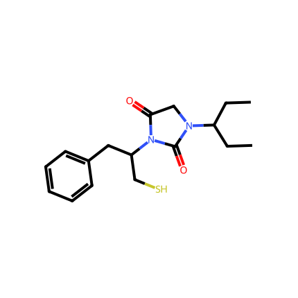 CCC(CC)N1CC(=O)N(C(CS)Cc2ccccc2)C1=O